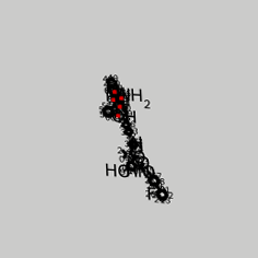 CC(C)[C@@H](C(=O)N1C[C@H](O)C[C@H]1C(=O)NOc1ccc(-c2ccccc2F)cc1)c1cc([C@H]2CC3(C2)C[C@H](N2CCC(c4cnc(N5C6CCC5CN(c5cc(-c7ccccc7O)nnc5N)C6)nc4)CC2)C3)no1